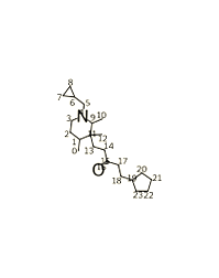 CC1CCN(CC2CC2)C(C)C1(C)CCC(=O)CCC1CCCC1